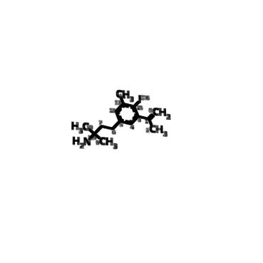 C=C(C)c1cc(CCC(C)(C)N)cc(C)c1F